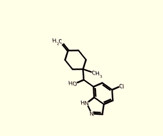 C=C1CCC(C)(C(O)c2cc(Cl)cc3cn[nH]c23)CC1